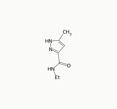 CCNC(=O)c1cc(C)[nH]n1